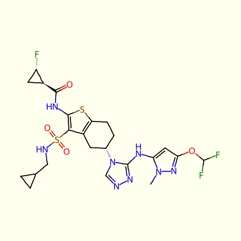 Cn1nc(OC(F)F)cc1Nc1nncn1[C@H]1CCc2sc(NC(=O)[C@H]3C[C@@H]3F)c(S(=O)(=O)NCC3CC3)c2C1